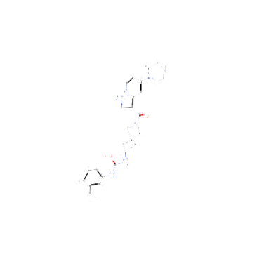 CN1CCN(c2ccn3ncc(C(=O)N4CC5(CC(NC(=O)Nc6cccc(C(F)(F)F)c6)C5)C4)c3c2)CC1